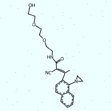 C/C(=C(/C#N)C(=O)NCCOCCOCCO)c1ccc2ccccc2c1N1CC1